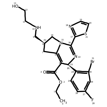 CCOC(=O)C1=C2C[C@@H](CNCCO)CN2C(c2nccs2)=N[C@H]1c1ccc(F)cc1Br